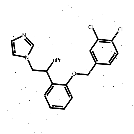 CCCC(Cn1ccnc1)c1ccccc1OCc1ccc(Cl)c(Cl)c1